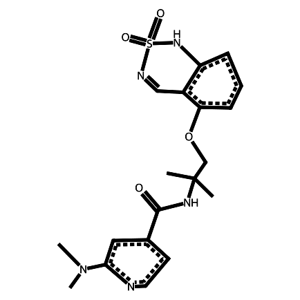 CN(C)c1cc(C(=O)NC(C)(C)COc2cccc3c2C=NS(=O)(=O)N3)ccn1